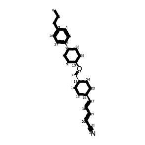 CCCc1ccc([C@H]2CC[C@H](OC[C@H]3CC[C@H](/C=C/C=C/C#N)CC3)CC2)cc1